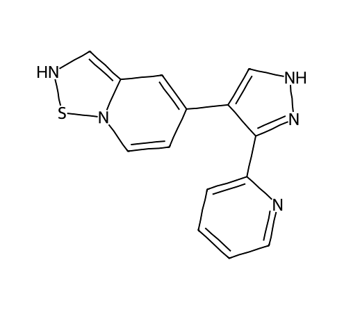 C1=CN2SNC=C2C=C1c1c[nH]nc1-c1ccccn1